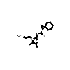 COCCn1c(C)c(C)s/c1=N\C(=O)[C@H]1CC12CCCCC2